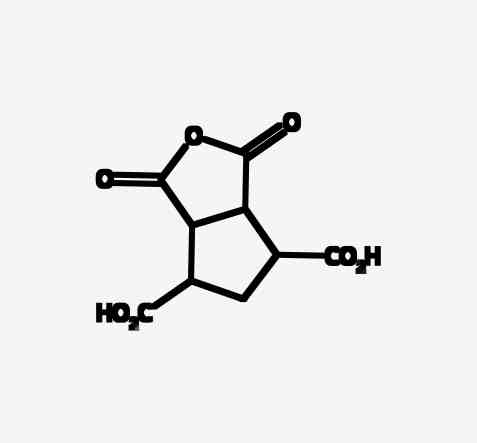 O=C(O)C1CC(C(=O)O)C2C(=O)OC(=O)C12